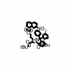 CC(C)(C)OC(=O)[C@@H](CCCOS(=O)(=O)c1cccc2ccc([N+](=O)[O-])cc12)C[C@H](NC(c1ccccc1)(c1ccccc1)C1C=CC=CC1)C(=O)OC(C)(C)C